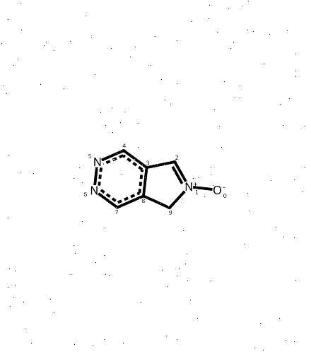 [O-][N+]1=Cc2cnncc2C1